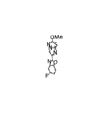 COc1nn2cc(-c3nc4cc(F)ccc4o3)nc2s1